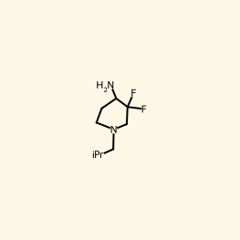 CC(C)CN1CCC(N)C(F)(F)C1